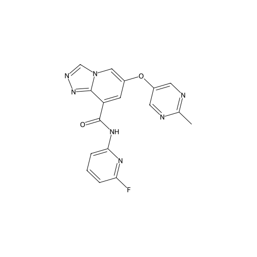 Cc1ncc(Oc2cc(C(=O)Nc3cccc(F)n3)c3nncn3c2)cn1